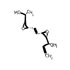 C=C[C@@H](O)[C@@H]1O[C@H]1C=C[C@@H]1O[C@H]1[C@@H](C)O